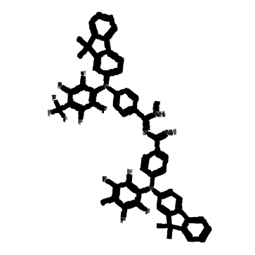 CN/C(=N\C(=N)c1ccc(N(c2ccc3c(c2)C(C)(C)c2ccccc2-3)c2c(F)c(F)c(C)c(F)c2F)cc1)c1ccc(N(c2ccc3c(c2)C(C)(C)c2ccccc2-3)c2c(F)c(F)c(C(F)(F)F)c(F)c2F)cc1